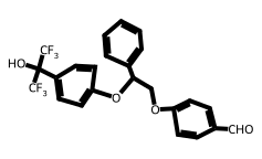 O=Cc1ccc(OCC(Oc2ccc(C(O)(C(F)(F)F)C(F)(F)F)cc2)c2ccccc2)cc1